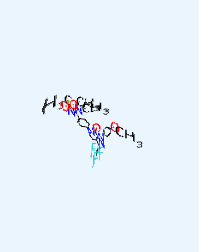 CCN(CC)C(=NS(C)(=O)=O)c1ccc(N2CCc3c(C(F)(F)F)nn(-c4ccc(OC)cc4)c3C2=O)cc1